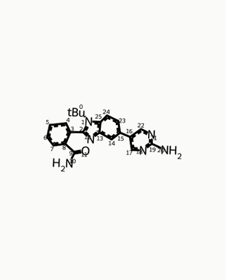 CC(C)(C)n1c(-c2ccccc2C(N)=O)nc2cc(-c3cnc(N)nc3)ccc21